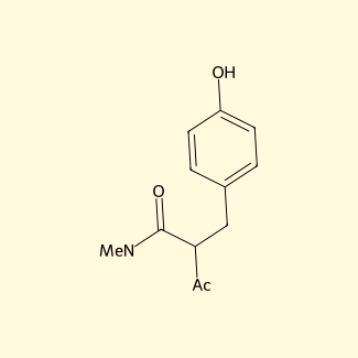 CNC(=O)C(Cc1ccc(O)cc1)C(C)=O